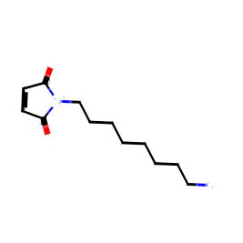 NCCCCCCCCN1C(=O)C=CC1=O